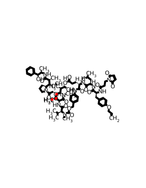 C=CCOc1ccc(C[C@H](NC(=O)CCN2C(=O)C=CC2=O)C(=O)N[C@H](CC(C)C)C(=O)N[C@@H](CCC(=O)O)C(=O)Nc2ccc(COC(=O)N(C)[C@H](C(=O)N[C@H](C(=O)N(C)[C@@H]([C@@H](C)CC)[C@@H](CC(=O)N3CCC[C@H]3[C@H](OC)[C@@H](C)C(=O)N[C@H](C)[C@@H](O)c3ccccc3)OC)C(C)C)C(C)C)cc2)cc1